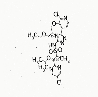 CCOC[C@H]1COc2c(ccnc2Cl)-c2nnc(NS(=O)(=O)[C@@H](C)[C@@H](OC(C)C)c3ncc(Cl)cn3)n21